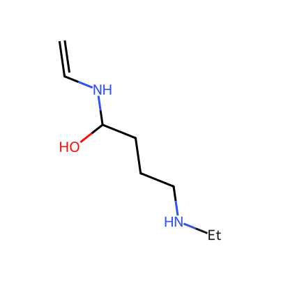 C=CNC(O)CCCNCC